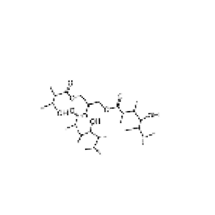 CC(C)C(C)C(O)C(C)C(C)C(=O)OCC(COC(=O)C(C)C(C)O)OC(=O)C(C)C(C)C(O)C(C)C(C)C